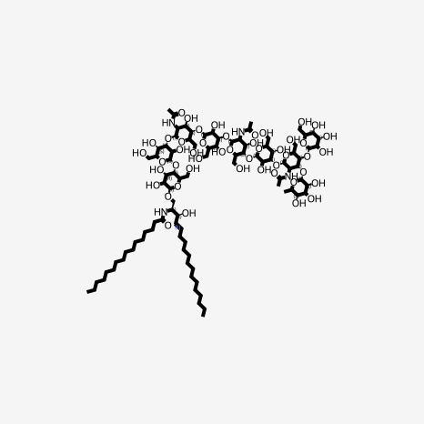 CCCCCCCCCCCCC/C=C/[C@@H](O)[C@H](CO[C@@H]1OC(CO)[C@@H](O[C@@H]2OC(CO)[C@H](O)[C@H](O[C@@H]3OC(CO)[C@@H](O[C@@H]4OC(CO)[C@H](O)[C@H](O[C@@H]5OC(CO)[C@@H](O[C@@H]6OC(CO)[C@H](O)[C@H](O[C@@H]7OC(CO)[C@@H](O[C@@H]8OC(CO)[C@H](O)[C@H](O)C8O)[C@H](O[C@H]8OC(C)[C@@H](O)C(O)[C@@H]8O)C7NC(C)=O)C6O)[C@H](O)C5NC(C)=O)C4O)[C@H](O)C3NC(C)=O)C2O)[C@H](O)C1O)NC(=O)CCCCCCCCCCCCCCC